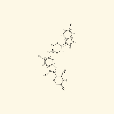 O=C1CCC(N2Cc3cc(CN4CCC(c5noc6cc(F)ccc56)CC4)c(F)cc3C2=O)C(=O)N1